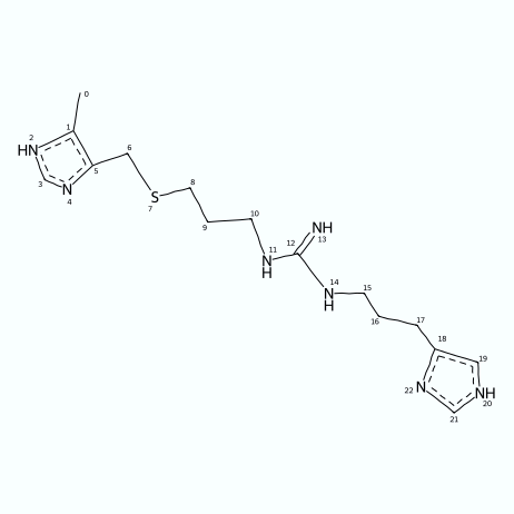 Cc1[nH]cnc1CSCCCNC(=N)NCCCc1c[nH]cn1